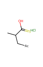 CC(=O)CC(C)C(O)=S.Cl